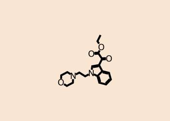 CCOC(=O)C(=O)c1cn(CCN2CCOCC2)c2ccccc12